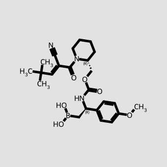 COc1ccc([C@@H](CB(O)O)NC(=O)OC[C@H]2CCCCN2C(=O)C(C#N)=CC(C)(C)C)cc1